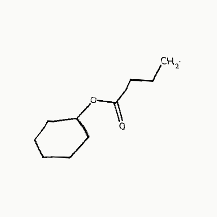 [CH2]CCC(=O)OC1CCCCC1